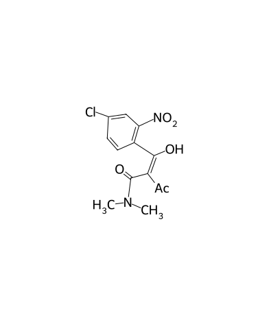 CC(=O)C(C(=O)N(C)C)=C(O)c1ccc(Cl)cc1[N+](=O)[O-]